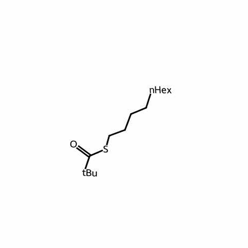 CCCCCCCCCCSC(=O)C(C)(C)C